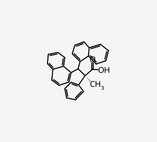 C[C@](C(=O)O)(c1ccccc1)C(c1cccc2ccccc12)c1cccc2ccccc12